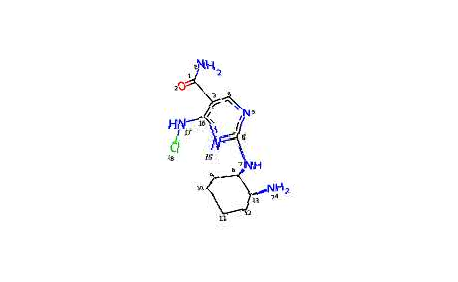 NC(=O)c1cnc(N[C@@H]2CCCC[C@@H]2N)nc1NCl